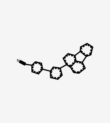 N#Cc1ccc(-c2cccc(-c3ccc4c5c(cccc35)-c3ccccc3-4)c2)cc1